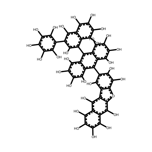 Oc1c(O)c(O)c(-c2c(O)c(-c3c4c(O)c(O)c(O)c(O)c4c(-c4c(O)c(O)c5oc6c(O)c7c(O)c(O)c(O)c(O)c7c(O)c6c5c4O)c4c(O)c(O)c(O)c(O)c34)c3c(O)c(O)c(O)c(O)c3c2O)c(O)c1O